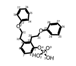 O=P(O)(O)Oc1cccc(CCOc2ccccc2)c1CCOc1ccccc1